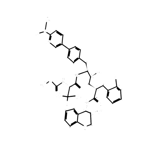 COC(=O)N[C@H](C(=O)N[C@@H](Cc1ccc(-c2ccc(N(C)C)nc2)cc1)[C@@H](O)C[C@@H](Cc1ccccc1F)C(=O)N[C@H]1c2ccccc2OC[C@H]1O)C(C)(C)C